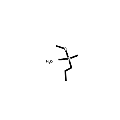 CCC[Si](C)(C)OC.O